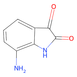 Nc1cccc2c1NC(=O)C2=O